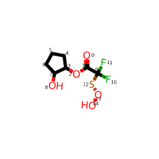 O=C(OC1CCCC1O)C(F)(F)SOO